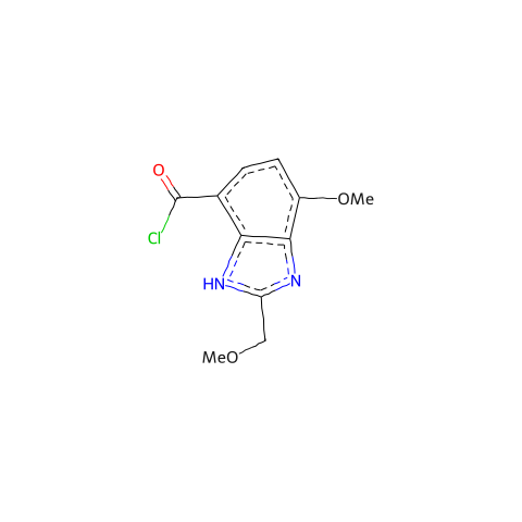 COCc1nc2c(OC)ccc(C(=O)Cl)c2[nH]1